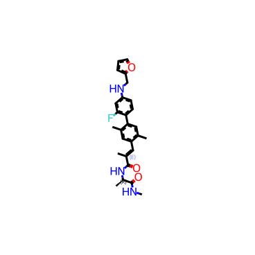 CNC(=O)[C@@H](C)NC(=O)/C(C)=C/c1cc(C)c(-c2ccc(NCc3ccco3)cc2F)cc1C